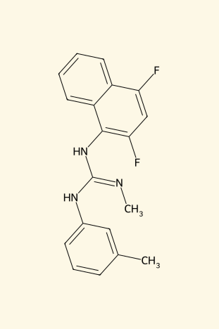 CN=C(Nc1cccc(C)c1)Nc1c(F)cc(F)c2ccccc12